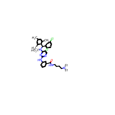 CCN(CC)CCCCNC(=O)c1cccc(Nc2nccc(N(C(=O)O)C(c3cc(Cl)ccc3Cl)c3c(C)cc(C)cc3C)n2)c1